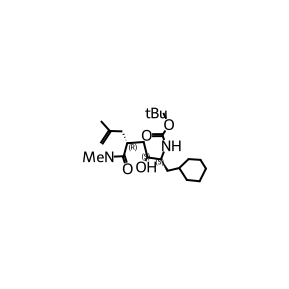 C=C(C)C[C@H](C[C@H](O)[C@H](CC1CCCCC1)NC(=O)OC(C)(C)C)C(=O)NC